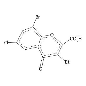 CCc1c(C(=O)O)oc2c(Br)cc(Cl)cc2c1=O